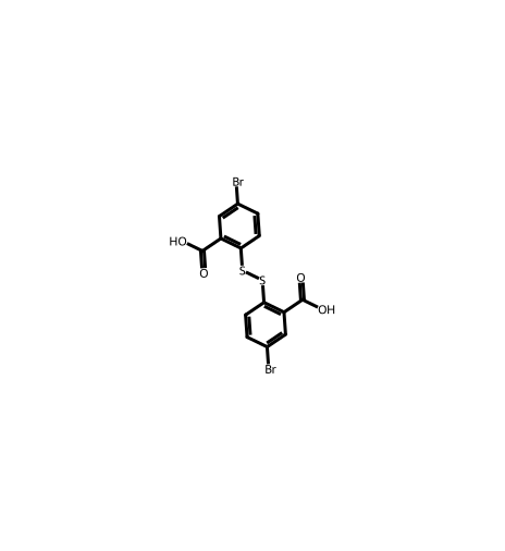 O=C(O)c1cc(Br)ccc1SSc1ccc(Br)cc1C(=O)O